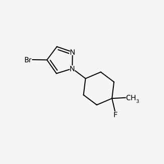 CC1(F)CCC(n2cc(Br)cn2)CC1